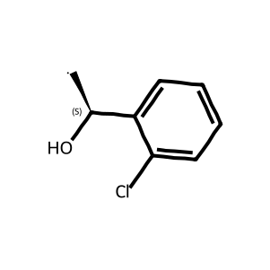 [CH2][C@H](O)c1ccccc1Cl